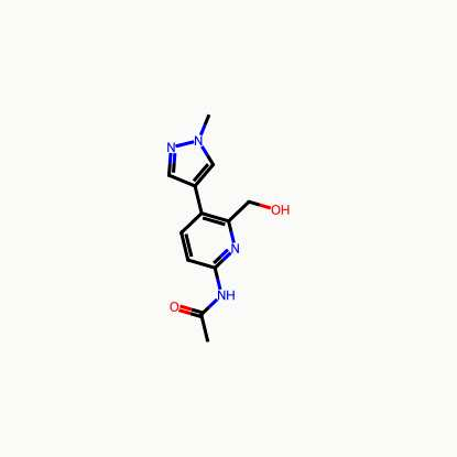 CC(=O)Nc1ccc(-c2cnn(C)c2)c(CO)n1